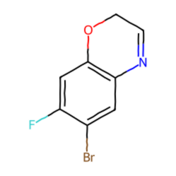 Fc1cc2c(cc1Br)N=CCO2